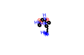 O=C1Nc2ccc(S(=O)(=O)Nc3ccccc3)cc2C1=C(Nc1ccc(CCCc2nnn[nH]2)cc1)c1ccccc1